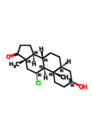 C[C@]12CC[C@H](O)C[C@@H]1CC[C@@H]1[C@@H]2[C@H](Cl)C[C@]2(C)C(=O)CC[C@@H]12